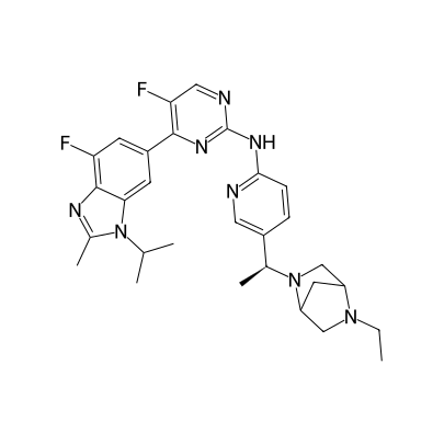 CCN1CC2CC1CN2[C@@H](C)c1ccc(Nc2ncc(F)c(-c3cc(F)c4nc(C)n(C(C)C)c4c3)n2)nc1